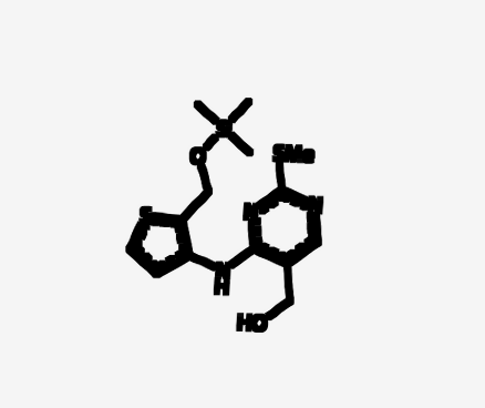 CSc1ncc(CO)c(Nc2ccsc2CO[Si](C)(C)C)n1